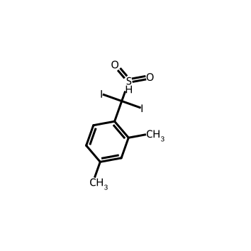 Cc1ccc(C(I)(I)[SH](=O)=O)c(C)c1